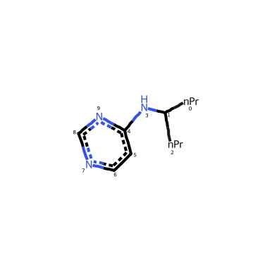 CCCC(CCC)Nc1ccn[c]n1